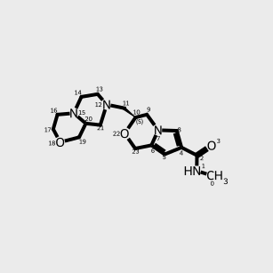 CNC(=O)c1cc2n(c1)C[C@H](CN1CCN3CCOCC3C1)OC2